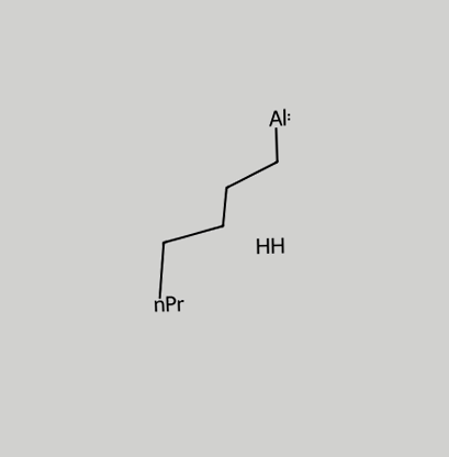 CCCCCC[CH2][Al].[HH]